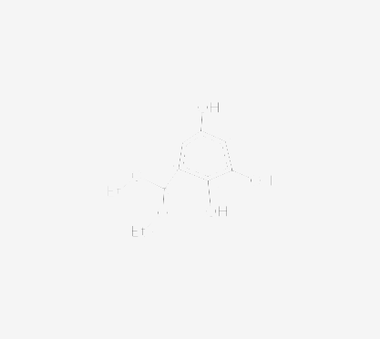 CCOC(OCC)c1cc(O)cc(O)c1O